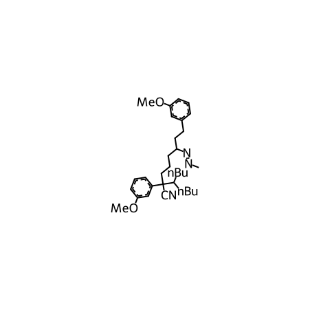 CCCCC(CCCC)C(C#N)(CCCC(CCc1cccc(OC)c1)/N=N/C)c1cccc(OC)c1